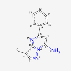 Cc1cnn2c(N)cc(-c3ccccc3)nc12